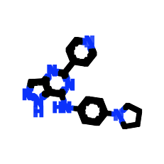 c1cc(-c2nc(Nc3ccc(N4CCCC4)cc3)c3[nH]ncc3n2)ccn1